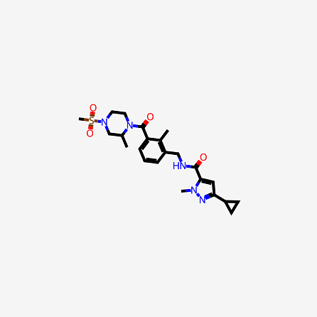 Cc1c(CNC(=O)c2cc(C3CC3)nn2C)cccc1C(=O)N1CCN(S(C)(=O)=O)CC1C